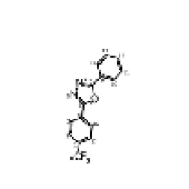 FC(F)(F)c1ccc(-c2nnc(-c3ccccc3)o2)cc1